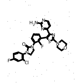 Nc1nccc(-c2nc(N3CCOCC3)sc2-c2cccc(N3CCN(c4ccc(F)cc4Cl)C3=O)c2F)n1